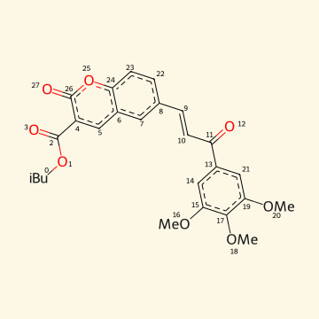 CCC(C)OC(=O)c1cc2cc(C=CC(=O)c3cc(OC)c(OC)c(OC)c3)ccc2oc1=O